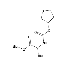 CC(C)(C)OC(=O)C(NC(=O)O[C@H]1CCOC1)C(C)(C)C